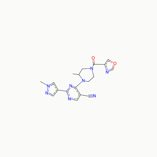 CC1CN(C(=O)c2cocn2)CCN1c1nc(-c2cnn(C)c2)ncc1C#N